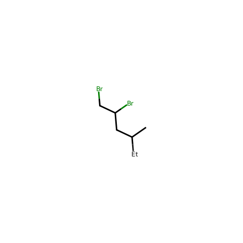 CCC(C)CC(Br)CBr